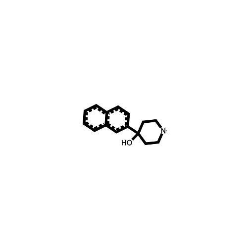 OC1(c2ccc3ccccc3c2)CC[N]CC1